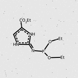 CCOC(=O)c1c[nH]/c(=N/P(OCC)OCC)[nH]1